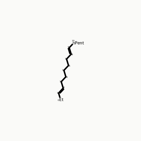 [CH2]CC=CCCCCCC=CCCCCC